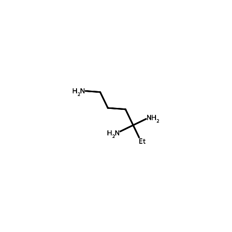 CCC(N)(N)CCCN